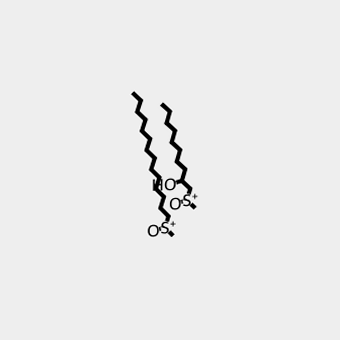 CCCCCCCCC(O)C[S+](C)[O-].CCCCCCCCCCCCCC[S+](C)[O-]